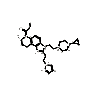 COC(=O)N1c2ccc3c(nc(CCn4cccn4)n3CCN3CCN(C4CC4)CC3)c2CC[C@@H]1C